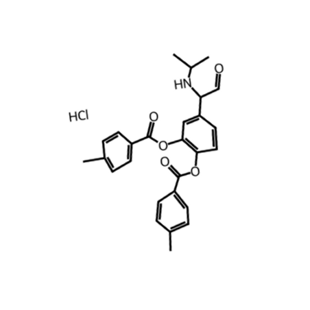 Cc1ccc(C(=O)Oc2ccc(C(C=O)NC(C)C)cc2OC(=O)c2ccc(C)cc2)cc1.Cl